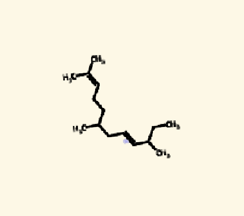 CCC(C)/C=C/CC(C)CCC=C(C)C